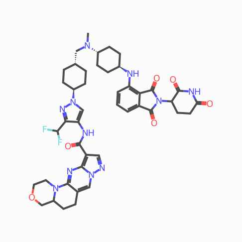 CN(C[C@H]1CC[C@H](n2cc(NC(=O)c3cnn4cc5c(nc34)N3CCOCC3CC5)c(C(F)F)n2)CC1)[C@H]1CC[C@H](Nc2cccc3c2C(=O)N(C2CCC(=O)NC2=O)C3=O)CC1